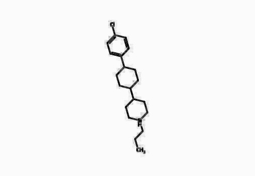 CCC[SiH]1CCC(C2CCC(c3ccc(Cl)cc3)CC2)CC1